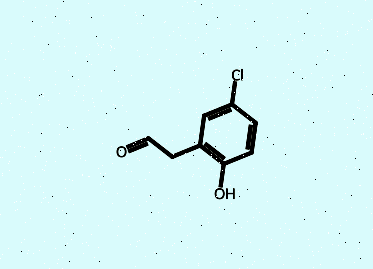 O=CCc1cc(Cl)ccc1O